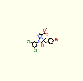 COC(=O)c1cnc2n1[C@](C)(Cc1ccc(Br)cc1)C(=O)N2c1cc(Cl)cc(Cl)c1